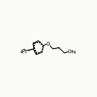 CC(C)c1ccc(OCCCO)cc1